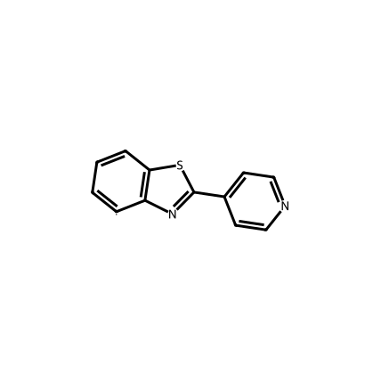 [c]1cccc2sc(-c3ccncc3)nc12